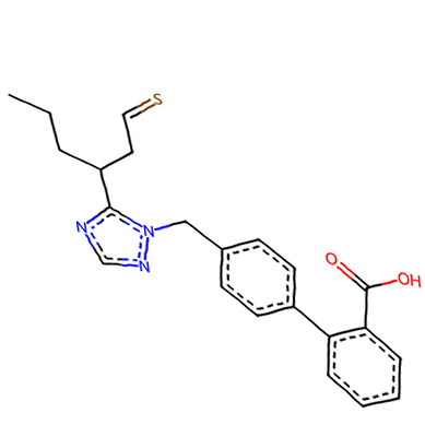 CCCC(CC=S)c1ncnn1Cc1ccc(-c2ccccc2C(=O)O)cc1